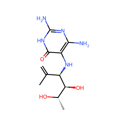 C=C(C)[C@@H](Nc1c(N)nc(N)[nH]c1=O)[C@@H](O)[C@H](C)O